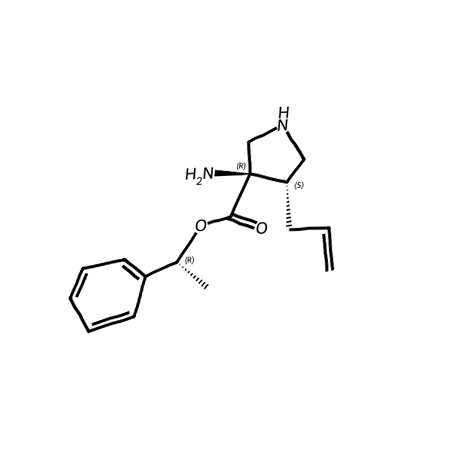 C=CC[C@H]1CNC[C@@]1(N)C(=O)O[C@H](C)c1ccccc1